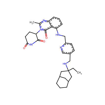 CCC1(NCc2ccc(CNc3cccc4nc(C)n(C5CCC(=O)NC5=O)c(=O)c34)nc2)CC2CCCC(C2)C1